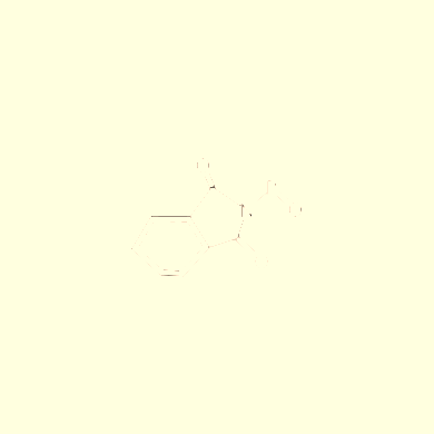 O=PN1C(=O)c2ccccc2C1=O